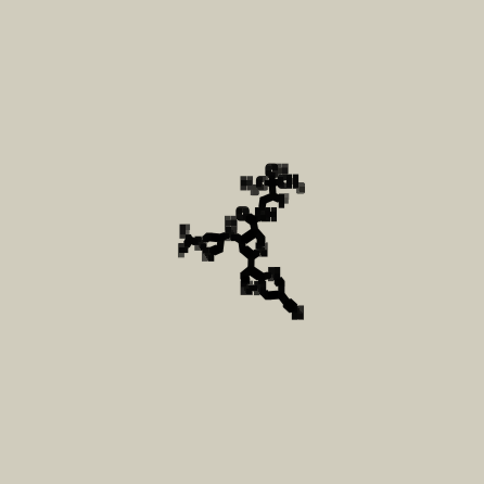 CC(C)(O)C(F)CNC(=O)c1cnc(-c2cnn3cc(C#N)cnc23)cc1Nc1cnn(C(F)F)c1